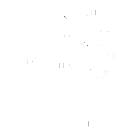 [2H]C([2H])(NC(C)[C@@H](O)[C@@H]1CCc2cc(F)c(C)cc2O1)[C@@]([2H])(O)[C@]1(C)Oc2ccc(F)cc2CC1C